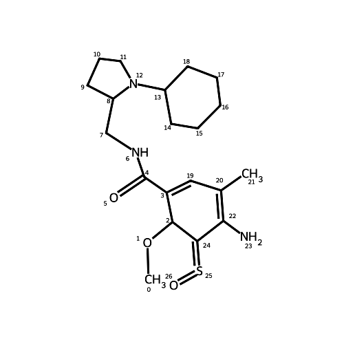 COC1C(C(=O)NCC2CCCN2C2CCCCC2)=CC(C)=C(N)C1=S=O